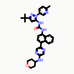 Cc1ccc(-n2nc(C(C)(C)C)cc2NC(=O)Nc2ccc(-c3cnc(NC4CCOCC4)cn3)c3ccccc23)cn1